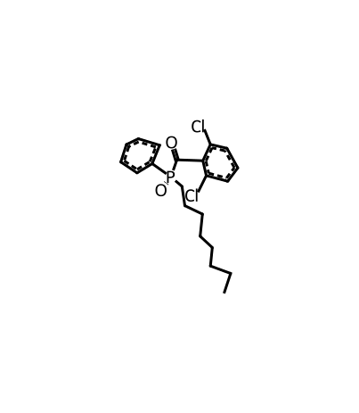 CCCCCCCCP(=O)(C(=O)c1c(Cl)cccc1Cl)c1ccccc1